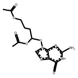 CC(=O)OCCCC(OC(C)=O)On1cnc2c(=O)[nH]c(N)nc21